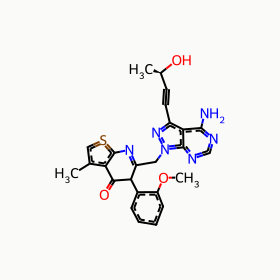 COc1ccccc1C1C(=O)c2c(C)csc2N=C1Cn1nc(C#C[C@@H](C)O)c2c(N)ncnc21